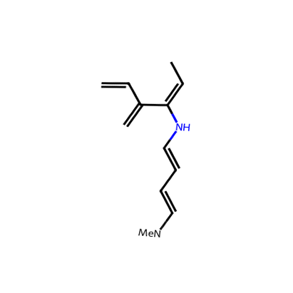 C=CC(=C)/C(=C\C)N/C=C/C=C/NC